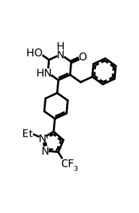 CCn1nc(C(F)(F)F)cc1C1=CCC(C2=C(Cc3ccccc3)C(=O)NC(O)N2)CC1